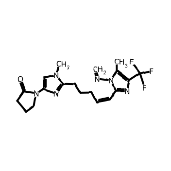 C=Nn1c(/C=C\CCCc2nc(N3CCCC3=O)cn2C)nc(C(F)(F)F)c1C